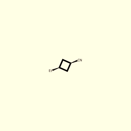 CC[C@H]1C[C@@H](C#N)C1